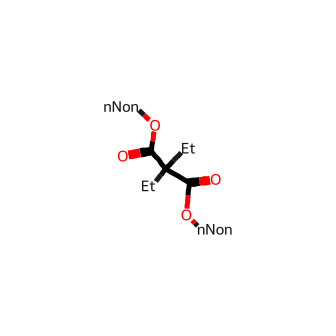 CCCCCCCCCOC(=O)C(CC)(CC)C(=O)OCCCCCCCCC